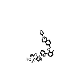 Cc1cccc(-c2cccc(-n3ncc(C(=O)O)c3OC(C)C)n2)c1OCc1ccc2c(c1)CCN(C1COC1)C2